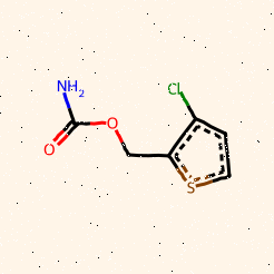 NC(=O)OCc1sccc1Cl